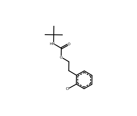 CC(C)(C)NC(=O)OCCc1ccccc1Cl